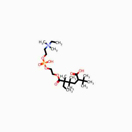 CCC(C)(C(=O)OCCOP(=O)(O)OCC[N+](C)(C)CC)C(C)(C)CC(C(=O)O)C(C)(C)C